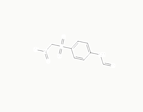 O=CNc1ccc(S(=O)(=O)C[N+](=O)[O-])cc1